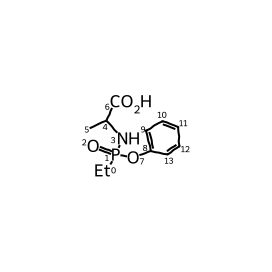 CCP(=O)(NC(C)C(=O)O)Oc1ccccc1